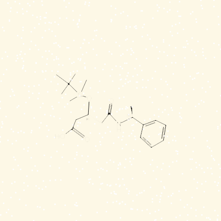 C[C@H](NC(=O)C[C@H](CC(=O)O)O[Si](C)(C)C(C)(C)C)c1ccccc1